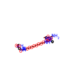 CCc1ccc(NC(=O)[C@H](CCCCN)NC(=O)[C@H](Cc2ccccc2)NC(=O)COCC(=O)NCCOCCOCCOCCOCCOCCOCCOCCOCCn2cc(CNC(=O)C3CCC(CN4C(=O)CC(C)C4=O)CC3)nn2)cc1